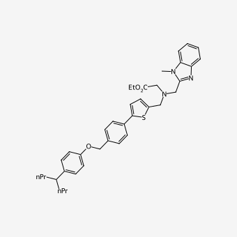 CCCC(CCC)c1ccc(OCc2ccc(-c3ccc(CN(CC(=O)OCC)Cc4nc5ccccc5n4C)s3)cc2)cc1